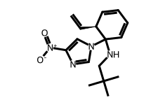 C=C[C@H]1C=CC=CC1(NCC(C)(C)C)n1cnc([N+](=O)[O-])c1